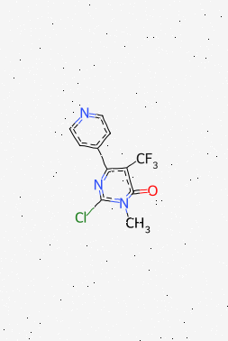 Cn1c(Cl)nc(-c2ccncc2)c(C(F)(F)F)c1=O